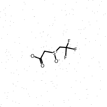 [O]C(=O)C[S+]([O-])CC(F)(F)F